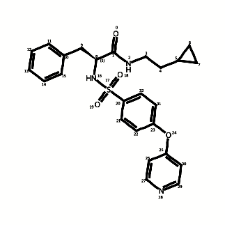 O=C(N[CH]CC1CC1)[C@H](Cc1ccccc1)NS(=O)(=O)c1ccc(Oc2ccncc2)cc1